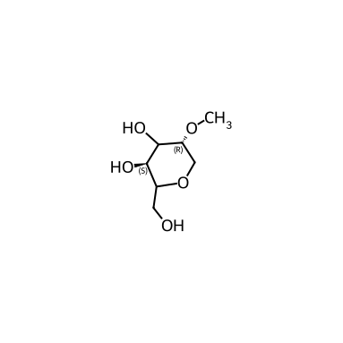 CO[C@@H]1COC(CO)[C@@H](O)C1O